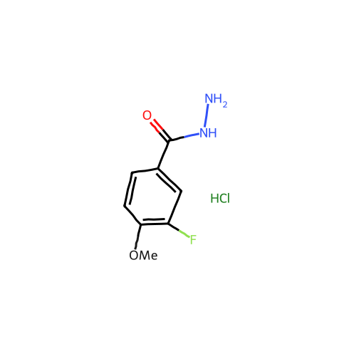 COc1ccc(C(=O)NN)cc1F.Cl